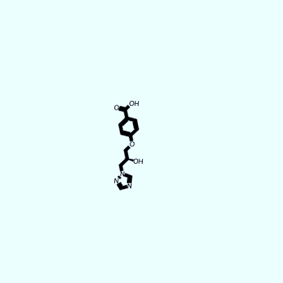 O=C(O)c1ccc(OC[C@@H](O)Cn2cncn2)cc1